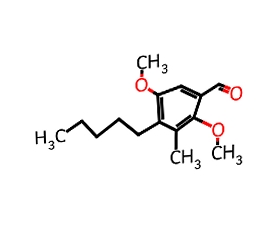 CCCCCc1c(OC)cc(C=O)c(OC)c1C